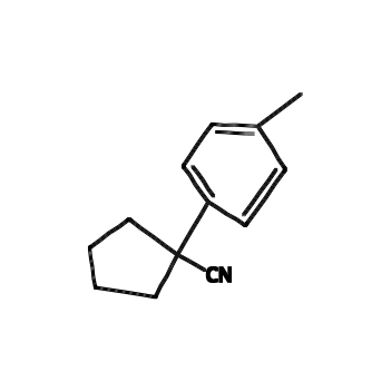 Cc1ccc(C2(C#N)CCCC2)cc1